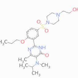 CCCOc1ccc(S(=O)(=O)N2CCN(CCO)CC2)cc1-c1nc(C)c(N(C)C(C)C)c(=O)[nH]1